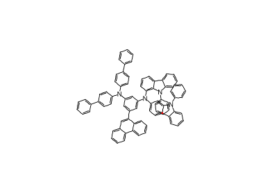 c1ccc(-c2ccc(N(c3ccc(-c4ccccc4)cc3)c3cc(-c4cc5ccccc5c5ccccc45)cc(N(c4ccc5c6ccccc6n(-c6ccccc6)c5c4)c4cccc5c6ccccc6n(-c6ccccc6)c45)c3)cc2)cc1